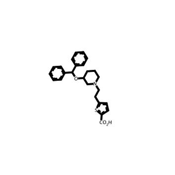 O=C(O)c1ccc(CCN2CCCC(OC(c3ccccc3)c3ccccc3)C2)s1